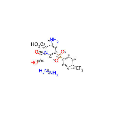 NC1=CC(S(=O)(=O)c2ccc(C(F)(F)F)cc2)=CN(C(=O)CO)C1C(=O)O.NN